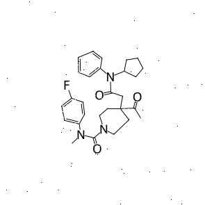 CC(=O)C1(CC(=O)N(c2ccccc2)C2CCCC2)CCN(C(=O)N(C)c2ccc(F)cc2)CC1